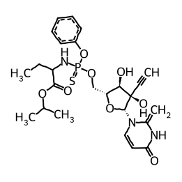 C#C[C@@]1(O)[C@H](O)[C@@H](COP(=S)(NC(CC)C(=O)OC(C)C)Oc2ccccc2)O[C@H]1N1C=CC(=O)NC1=C